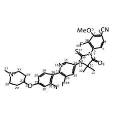 COc1c(C#N)ccc(N2C(=O)C(C)(C)N(c3cnc(-c4ccc(OC5CCN(C)CC5)cc4F)c(F)c3)C2=S)c1F